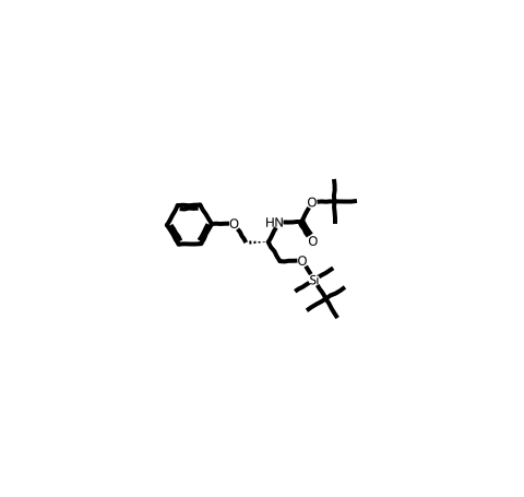 CC(C)(C)OC(=O)N[C@@H](COc1ccccc1)CO[Si](C)(C)C(C)(C)C